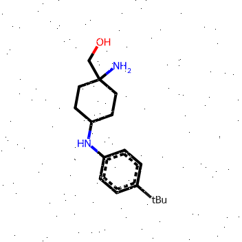 CC(C)(C)c1ccc(NC2CCC(N)(CO)CC2)cc1